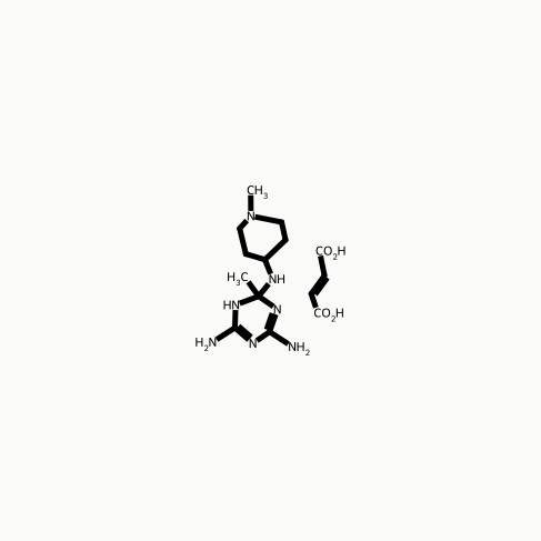 CN1CCC(NC2(C)N=C(N)N=C(N)N2)CC1.O=C(O)C=CC(=O)O